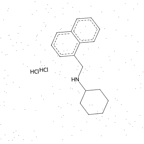 Cl.Cl.c1ccc2c(CNC3CCCCC3)cccc2c1